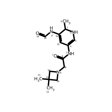 CC1NC=C(NC(=O)CN2CC(C)(C)C2)C=C1NC=O